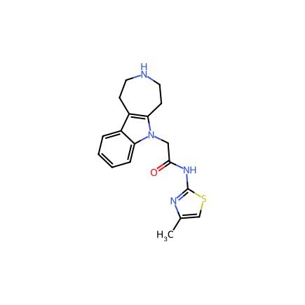 Cc1csc(NC(=O)Cn2c3c(c4ccccc42)CCNCC3)n1